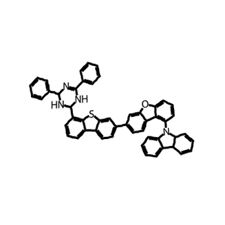 C1=CC2c3ccccc3N(c3cccc4oc5cc(-c6ccc7c(c6)sc6c(C8NC(c9ccccc9)=NC(c9ccccc9)N8)cccc67)ccc5c34)C2C=C1